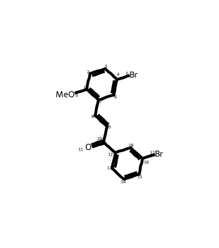 COc1ccc(Br)cc1C=CC(=O)c1cccc(Br)c1